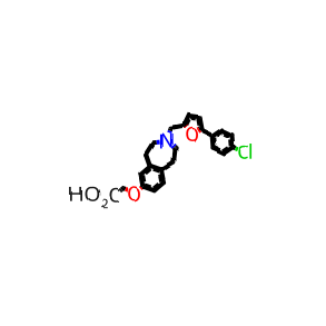 O=C(O)COc1ccc2c(c1)CCN(Cc1ccc(-c3ccc(Cl)cc3)o1)CC2